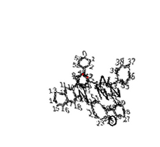 c1ccc(-c2ccc3c(c2)c2cc4ccccc4cc2n3-c2ccc3oc4cccc(-c5nc(-c6ccccc6)nc(-c6ccccc6)n5)c4c3c2)cc1